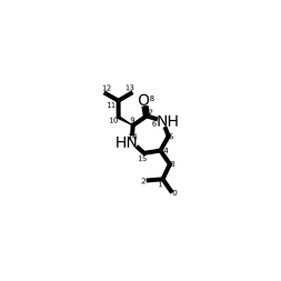 CC(C)CC1CNC(=O)[C@H](CC(C)C)NC1